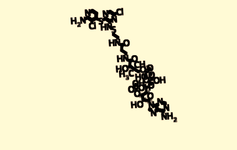 CC(C)(COP(=O)(O)OP(=O)(O)OC[C@H]1O[C@@H](n2cnc3c(N)ncnc32)[C@H](O)[C@@H]1OP(=O)(O)O)[C@@H](O)C(=O)NCCC(=O)NCCSNc1nc(Cl)cnc1Sc1ccnc(N)c1Cl